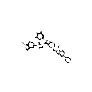 CCn1c(C(=O)N2CCc3nn(-c4cc(C)c(C)c(C)c4)c(-n4ccn(C5=Cc6cnn(C)c6CC5)c4=O)c3C2)cc2cc(C3CCOCC3)ccc21